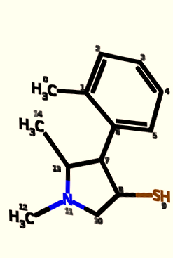 Cc1ccccc1C1C(S)CN(C)C1C